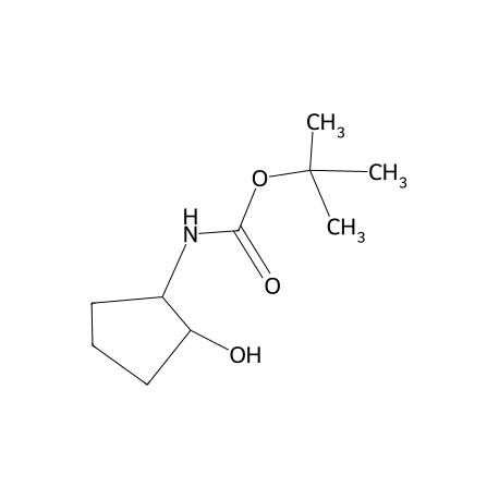 CC(C)(C)OC(=O)NC1CCCC1O